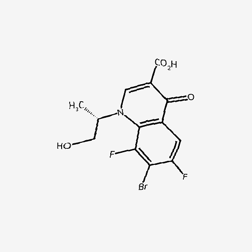 C[C@@H](CO)n1cc(C(=O)O)c(=O)c2cc(F)c(Br)c(F)c21